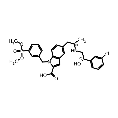 COP(=O)(OC)c1cccc(Cn2c(C(=O)O)cc3cc(C[C@@H](C)NC[C@@H](O)c4cccc(Cl)c4)ccc32)c1